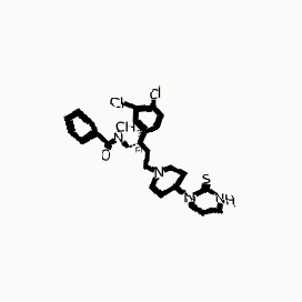 CN(C[C@@H](CCN1CCC(N2CCCNC2=S)CC1)c1ccc(Cl)c(Cl)c1)C(=O)c1ccccc1